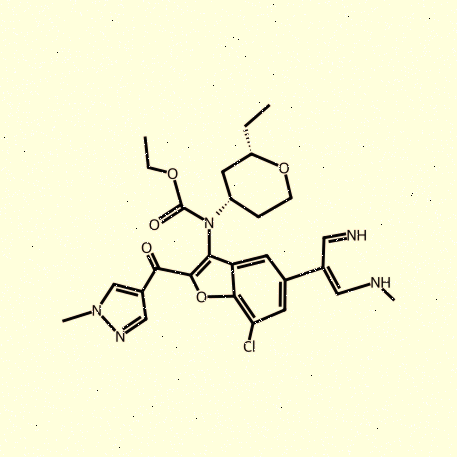 CCOC(=O)N(c1c(C(=O)c2cnn(C)c2)oc2c(Cl)cc(/C(C=N)=C/NC)cc12)[C@H]1CCO[C@@H](CC)C1